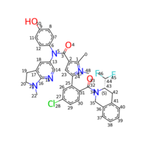 Cc1c(C(=O)N(c2ccc(O)cc2)c2cnc3c(c2)CCN3C)cc(-c2cc(Cl)ccc2C(=O)N2Cc3ccccc3C[C@H]2C(F)F)n1C